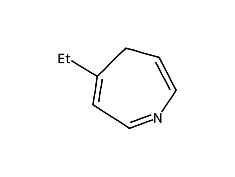 CCC1=CC=NC=CC1